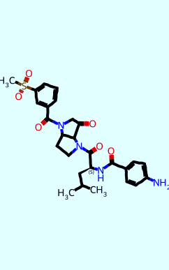 CC(C)C[C@H](NC(=O)c1ccc(N)cc1)C(=O)N1CCC2C1C(=O)CN2C(=O)c1cccc(S(C)(=O)=O)c1